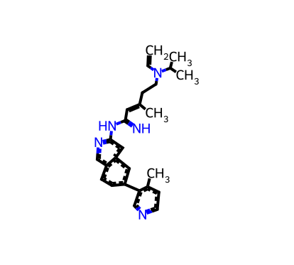 C=CN(CC/C(C)=C/C(=N)Nc1cc2cc(-c3cnccc3C)ccc2cn1)C(C)C